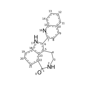 O=C1NCCc2c(-c3ccc4ccccc4n3)[nH]c3cccc1c23